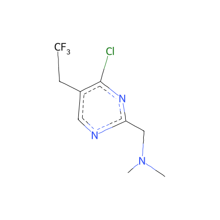 CN(C)Cc1ncc(CC(F)(F)F)c(Cl)n1